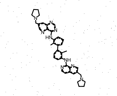 Cc1c(Nc2nccc3cc(CN4CCCC4)cnc23)cccc1-c1cccc(Nc2ncnc3cc(CN4CCCC4)cnc23)c1C